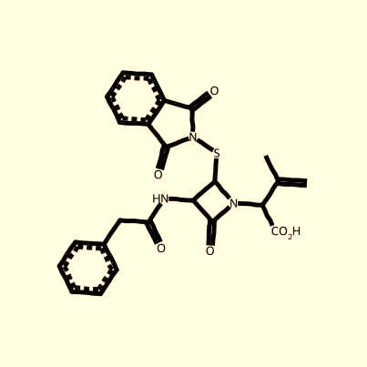 C=C(C)C(C(=O)O)N1C(=O)C(NC(=O)Cc2ccccc2)C1SN1C(=O)c2ccccc2C1=O